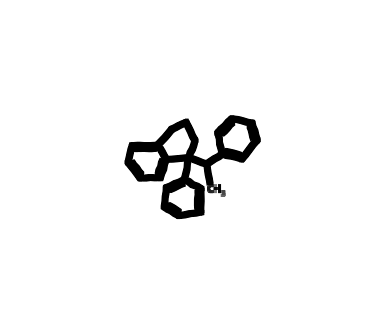 CC(c1ccccc1)C1(c2ccccc2)CCCc2ccccc21